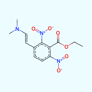 CCOC(=O)c1c([N+](=O)[O-])ccc(/C=C/N(C)C)c1[N+](=O)[O-]